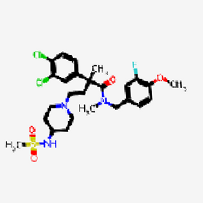 COc1ccc(CN(C)C(=O)C(C)(CCN2CCC(NS(C)(=O)=O)CC2)c2ccc(Cl)c(Cl)c2)cc1F